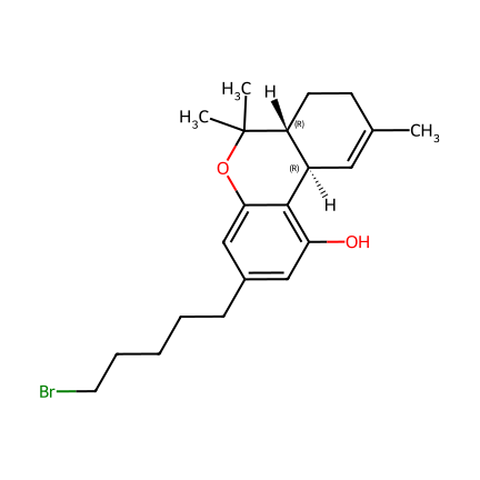 CC1=C[C@H]2c3c(O)cc(CCCCCBr)cc3OC(C)(C)[C@@H]2CC1